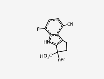 CCCC1(C(=O)O)CCc2c1[nH]c1c(F)ccc(C#N)c21